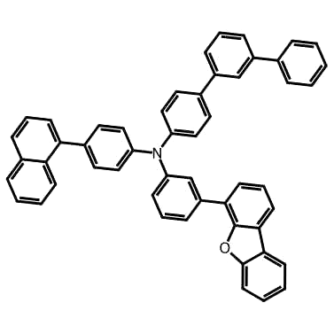 c1ccc(-c2cccc(-c3ccc(N(c4ccc(-c5cccc6ccccc56)cc4)c4cccc(-c5cccc6c5oc5ccccc56)c4)cc3)c2)cc1